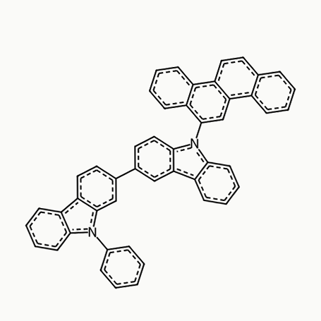 c1ccc(-n2c3ccccc3c3ccc(-c4ccc5c(c4)c4ccccc4n5-c4cc5c6ccccc6ccc5c5ccccc45)cc32)cc1